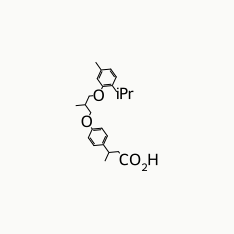 Cc1ccc(C(C)C)c(OCC(C)COc2ccc(C(C)CC(=O)O)cc2)c1